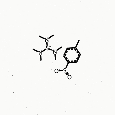 CN(C)[S+](N(C)C)N(C)C.Cc1ccc(S(=O)[O-])cc1